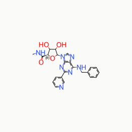 CNC(=O)[C@@H]1OC(n2cnc3c(NCc4ccccc4)nc(-c4cccnc4)nc32)C(O)C1O